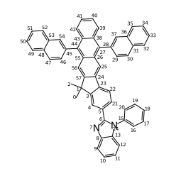 CC1(C)c2cc(-c3nc4ccccc4n3-c3ccccc3)ccc2-c2cc3c(-c4ccc5ccccc5c4)c4ccccc4c(-c4ccc5ccccc5c4)c3cc21